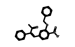 CC(=O)C(=Cc1ccc([N+](=O)[O-])c(OCc2ccccc2)c1)c1ccccc1